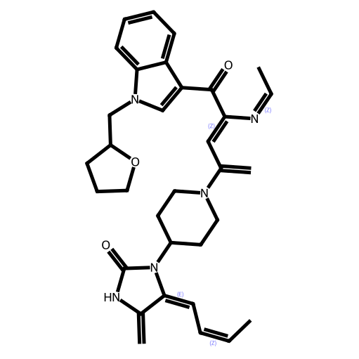 C=C(/C=C(\N=C/C)C(=O)c1cn(CC2CCCO2)c2ccccc12)N1CCC(n2c(=O)[nH]c(=C)/c2=C\C=C/C)CC1